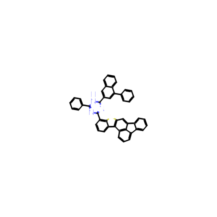 c1ccc(C2=NC(c3cccc4c3sc3cc5c6c(cccc6c34)-c3ccccc3-5)=NC(c3cc(-c4ccccc4)c4ccccc4c3)N2)cc1